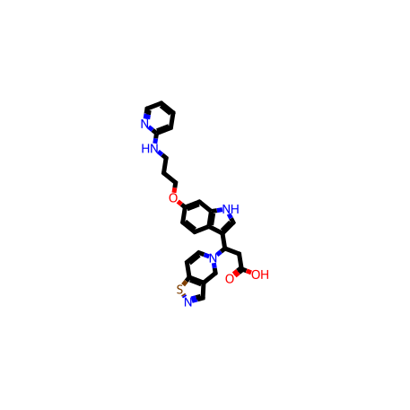 O=C(O)CC(c1c[nH]c2cc(OCCCNc3ccccn3)ccc12)N1C=Cc2sncc2C1